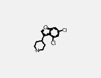 Clc1cc(Cl)c2c(C3CC[N]CC3)coc2c1